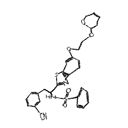 N#Cc1cccc(CC(NS(=O)(=O)c2ccccc2)c2nc3ccc(OCCOC4CCCCO4)cc3s2)c1